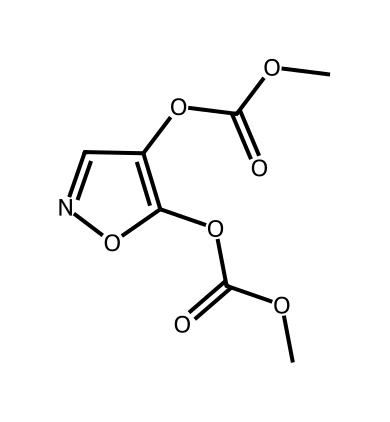 COC(=O)Oc1cnoc1OC(=O)OC